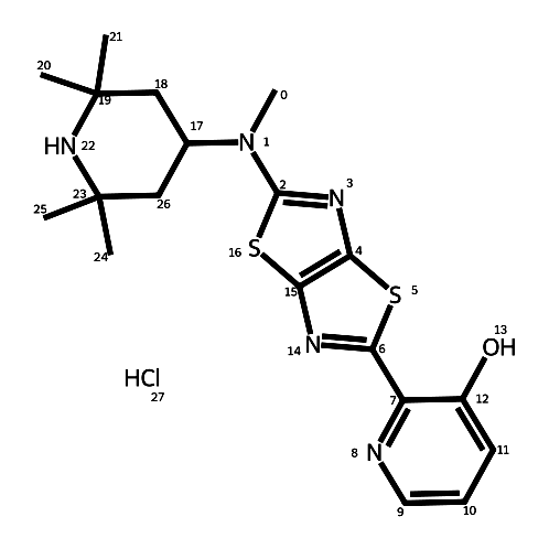 CN(c1nc2sc(-c3ncccc3O)nc2s1)C1CC(C)(C)NC(C)(C)C1.Cl